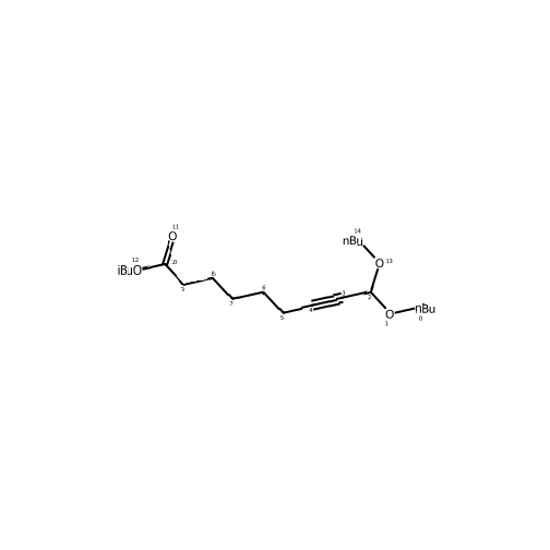 CCCCOC(C#CCCCCCC(=O)OCC(C)C)OCCCC